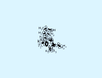 C=C(C)C(=O)OC.C=C(C)C(=O)OC1CCCCC1.C=C(C)C(=O)OCC(C)C.C=C(C)C(=O)OCC(CC)(COC(=O)C(=C)C)COC(=O)C(=C)C.C=C(C)C(=O)OCC(O)CO